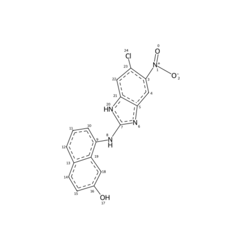 O=[N+]([O-])c1cc2nc(Nc3cccc4ccc(O)cc34)[nH]c2cc1Cl